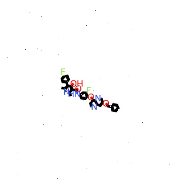 Cc1nc(C)c(-c2ccc(F)cc2)c(O)c1C(=O)Nc1ccc(Oc2ccnc3cc(OCc4ccccc4)cnc23)c(F)c1